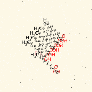 B.CCCCCCCCCC(=O)O.CCCCCCCCCC(=O)O.CCCCCCCCCC(=O)O.CCCCCCCCCC(=O)O.CCCCCCCCCC(=O)O.CCCCCCCCCC(=O)O.[Zr]